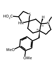 COc1ccc(C[C@]23CCN(C)[C@H]2CC2(CC3)NC(C(=O)O)CS2)cc1OC